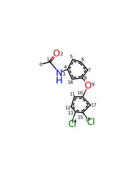 CC(=O)Nc1cccc(Oc2ccc(Cl)c(Cl)c2)c1